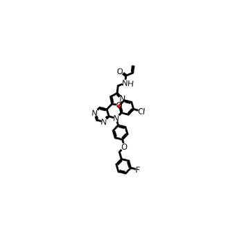 C=CC(=O)NCc1cc(-c2cncnc2N(c2ccc(OCc3cccc(F)c3)cc2)c2cccc(Cl)c2)on1